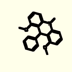 COc1cccc2c1C(c1ccccc1)c1c(OC)cccc1N2C